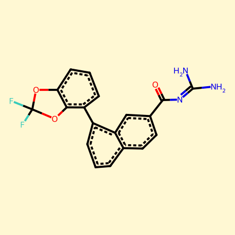 NC(N)=NC(=O)c1ccc2cccc(-c3cccc4c3OC(F)(F)O4)c2c1